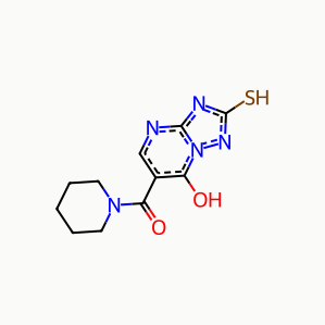 O=C(c1cnc2nc(S)nn2c1O)N1CCCCC1